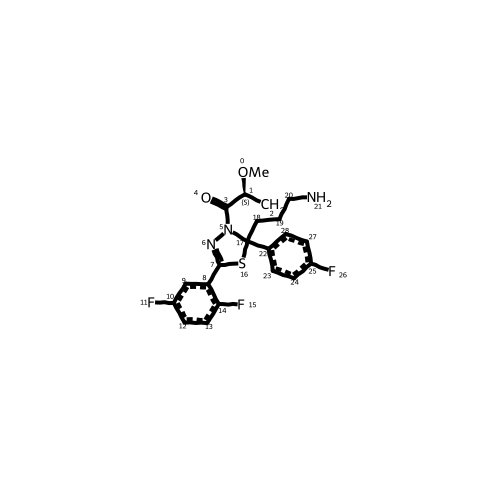 CO[C@@H](C)C(=O)N1N=C(c2cc(F)ccc2F)SC1(CCCN)c1ccc(F)cc1